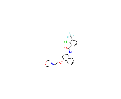 O=C(Nc1ccc(OCCN2CCOCC2)c2ccccc12)c1cccc(C(F)(F)F)c1Cl